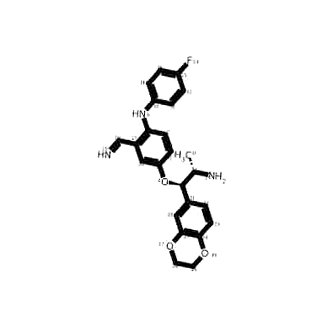 C[C@H](N)[C@H](Oc1ccc(Nc2ccc(F)cc2)c(C=N)c1)c1ccc2c(c1)OCCO2